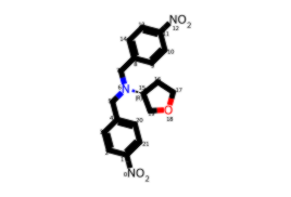 O=[N+]([O-])c1ccc(CN(Cc2ccc([N+](=O)[O-])cc2)[C@@H]2CCOC2)cc1